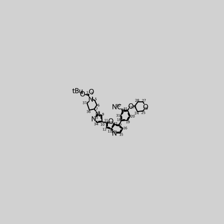 CC(C)(C)OC(=O)N1CCC(n2cc(-c3cc4nccc(-c5ccc(OC6CCOCC6)c(C#N)c5)c4o3)cn2)CC1